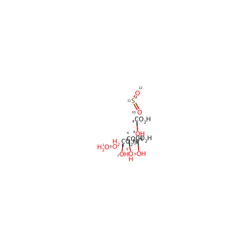 O.O.O=C(O)O.O=C(O)O.O=C(O)O.O=C(O)O.O=S=O